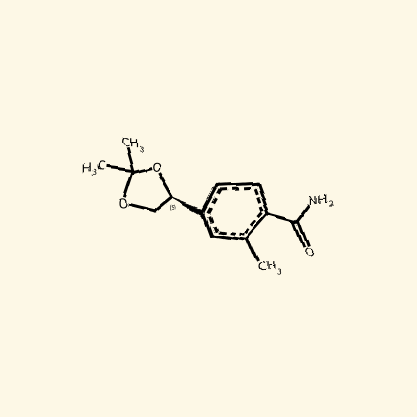 Cc1cc([C@H]2COC(C)(C)O2)ccc1C(N)=O